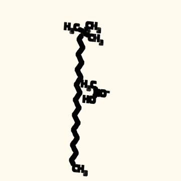 CCCCCCCCCCCCCCCCCC[N+](C)(C)C.CCO.[OH-]